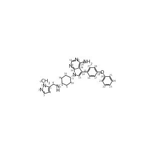 Cn1nccc1CN[C@H]1CC[C@@H](n2cc(-c3ccc(Oc4ccccc4)cc3)c3c(N)ncnc32)CC1